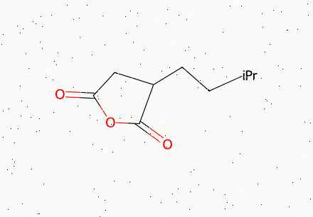 CC(C)CCC1CC(=O)OC1=O